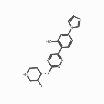 Oc1cc(-n2ccnc2)ccc1-c1cnc(S[C@H]2CCNC[C@@H]2F)nn1